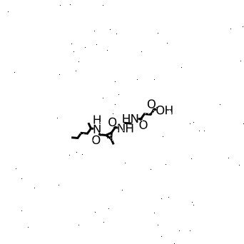 CCCCC(C)NC(=O)C1C(C)C1C(=O)NCCNC(=O)CCC(=O)O